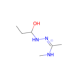 CCC(O)N/N=C(/C)NC